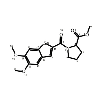 COC(=O)C1CCCN1C(=O)c1cc2cc(OC)c(OC)cc2s1